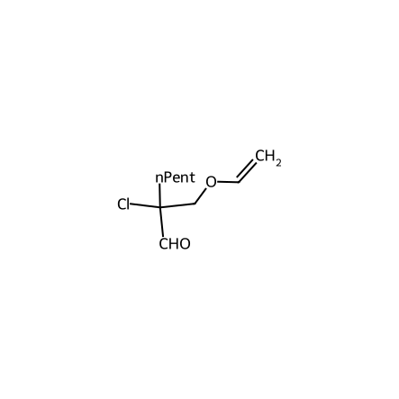 C=COCC(Cl)(C=O)CCCCC